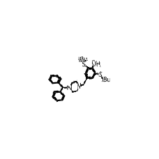 CCC(C)Sc1cc(CN2CCN(C(c3ccccc3)c3ccccc3)CC2)cc(SC(C)CC)c1O